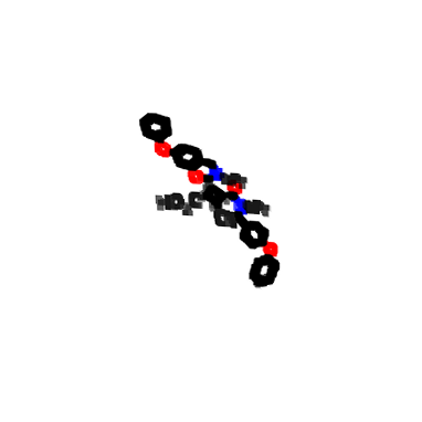 CCCN(Cc1ccc(Oc2ccccc2)cc1)C(=O)[C@H]1[C@@H](C(=O)O)[C@H](C#N)[C@@H]1C(=O)N(CCC)Cc1ccc(Oc2ccccc2)cc1